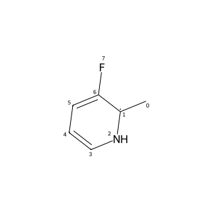 C[C]1NC=CC=C1F